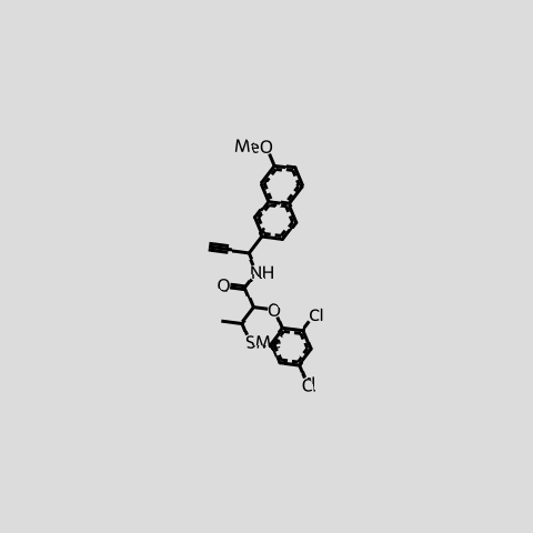 C#CC(NC(=O)C(Oc1ccc(Cl)cc1Cl)C(C)SC)c1ccc2ccc(OC)cc2c1